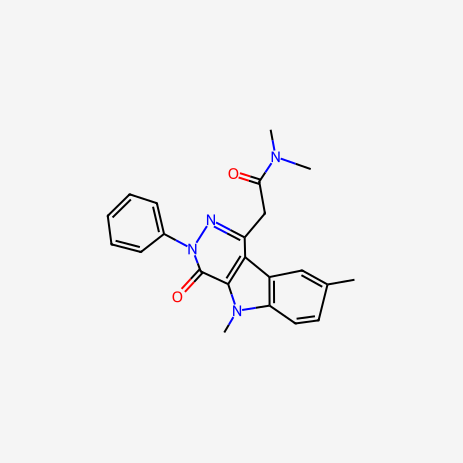 Cc1ccc2c(c1)c1c(CC(=O)N(C)C)nn(-c3ccccc3)c(=O)c1n2C